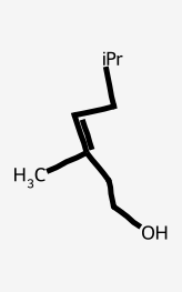 CC(=CCC(C)C)CCO